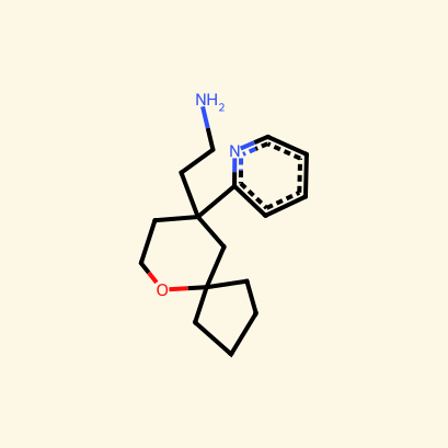 NCCC1(c2ccccn2)CCOC2(CCCC2)C1